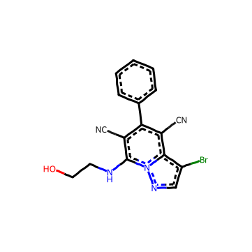 N#Cc1c(-c2ccccc2)c(C#N)c2c(Br)cnn2c1NCCO